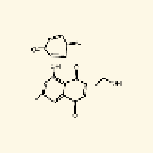 CCO.Cc1cc(O)c2c(c1)C(=O)C=CC2=O.O=C1C=CC(=O)C=C1